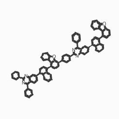 c1ccc(-c2nc(-c3ccccc3)c3ccc(-c4ccc(-c5ccc(-c6ccc(-c7nc(-c8ccccc8)c8cc(-c9ccc(-c%10cccc%11oc%12ccccc%12c%10%11)c%10ccccc9%10)ccc8n7)cc6)c6oc7ccccc7c56)c5ccccc45)cc3n2)cc1